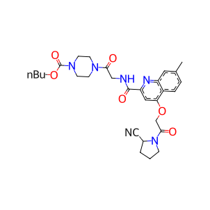 CCCCOC(=O)N1CCN(C(=O)CNC(=O)c2cc(OCC(=O)N3CCCC3C#N)c3ccc(C)cc3n2)CC1